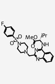 COC(=O)[C@@H](Nc1nc(CN2CCN(S(=O)(=O)c3ccc(F)cc3)CC2)nc2ccccc12)C(C)C